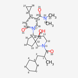 CC(CC1CCCCC1)C(=O)N1CC[C@@](O)(Cn2cc(C(=O)N(C)C)c(C3CC3)cc2=O)C2(CCCC2)C1